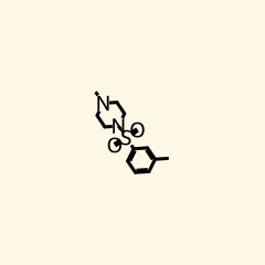 Cc1cccc(S(=O)(=O)N2CCN(C)CC2)c1